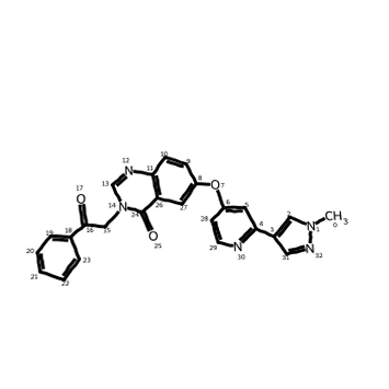 Cn1cc(-c2cc(Oc3ccc4ncn(CC(=O)c5ccccc5)c(=O)c4c3)ccn2)cn1